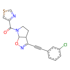 O=C(c1cscn1)N1CCC2C(C#Cc3cccc(Cl)c3)=NOC21